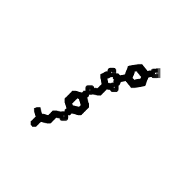 CC(C)=CCOc1ccc(OCC2COC(c3ccc(Cl)cc3)O2)cc1